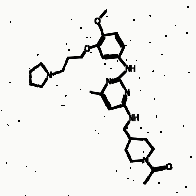 COc1ccc(Nc2nc(C)cc(NCC3CCN(C(C)=O)CC3)n2)cc1OCCCN1CCCC1